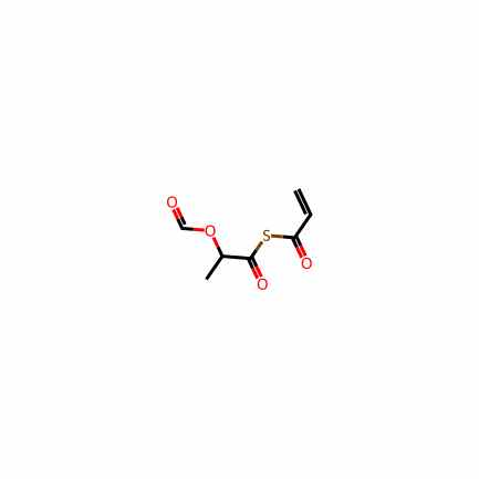 C=CC(=O)SC(=O)C(C)OC=O